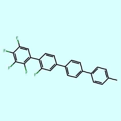 Cc1ccc(-c2ccc(-c3ccc(-c4cc(F)c(F)c(F)c4F)c(F)c3)cc2)cc1